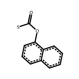 O=C([S])Oc1cccc2ccccc12